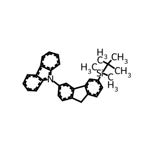 CC(C)(C)[Si](C)(C)c1ccc2c(c1)-c1cc(-n3c4ccccc4c4ccccc43)ccc1C2